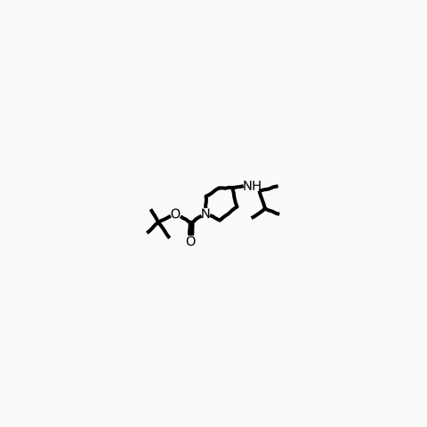 CC(C)C(C)NC1CCN(C(=O)OC(C)(C)C)CC1